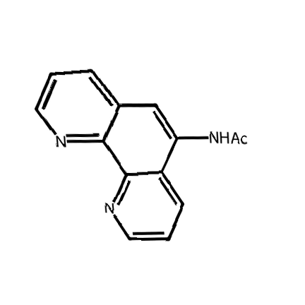 CC(=O)Nc1cc2cccnc2c2ncccc12